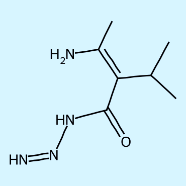 C/C(N)=C(/C(=O)NN=N)C(C)C